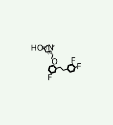 CN1C[C@H](O)C[C@H]1CCOc1ccc(F)cc1CCc1ccc(F)c(F)c1